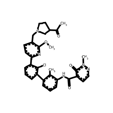 COc1nc(-c2cccc(-c3cccc(NC(=O)c4ccnn(C)c4=O)c3C)c2Cl)ccc1CN1CCC(C(C)=O)C1